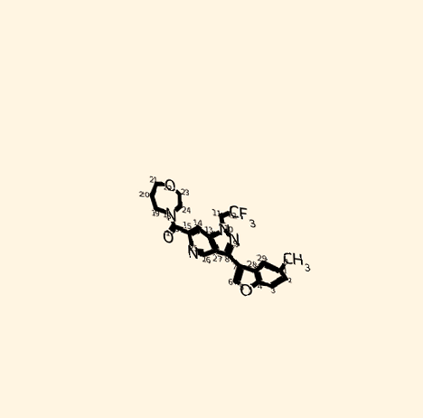 Cc1ccc2occ(-c3nn(CC(F)(F)F)c4cc(C(=O)N5CCCOCC5)ncc34)c2c1